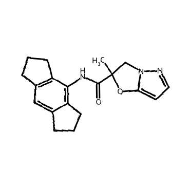 CC1(C(=O)Nc2c3c(cc4c2CCC4)CCC3)Cn2nccc2O1